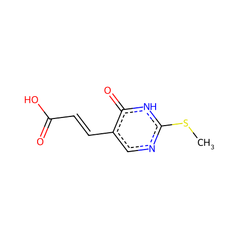 CSc1ncc(C=CC(=O)O)c(=O)[nH]1